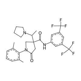 Cc1cccc(C)c1N1CC(C(=O)Nc2cc(C(F)(F)F)cc(C(F)(F)F)c2)(C(C)N2CCCC2)CC1=O